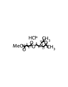 COC(=O)C=CC(=O)OCCN1CC(C)OC(C)C1.Cl